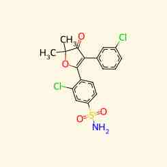 CC1(C)OC(c2ccc(S(N)(=O)=O)cc2Cl)=C(c2cccc(Cl)c2)C1=O